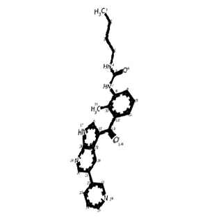 CCCCNC(=O)Nc1cccc(C(=O)c2c[nH]c3ncc(-c4cccnc4)cc23)c1C